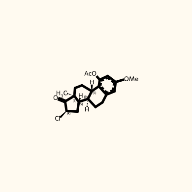 COc1cc2c(c(OC(C)=O)c1)[C@H]1CC[C@]3(C)C(=O)[C@H](Cl)C[C@H]3[C@@H]1CC2